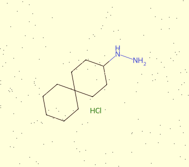 Cl.NNC1CCC2(CCCCC2)CC1